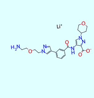 NCCOCCn1cc(-c2cccc(C(=O)Nc3cn(C4CCOCC4)nc3C(=O)[O-])c2)cn1.[Li+]